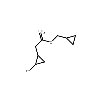 C=C(CC1CC1CC)OCC1CC1